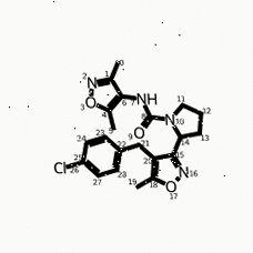 Cc1noc(C)c1NC(=O)N1CCCC1c1noc(C)c1Cc1ccc(Cl)cc1